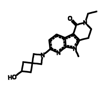 CCN1CCc2c(c3ccc(N4CC5(CC(O)C5)C4)nc3n2C)C1=O